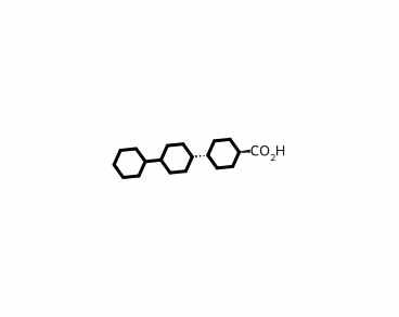 O=C(O)[C@H]1CC[C@H](C2CCC(C3CCCCC3)CC2)CC1